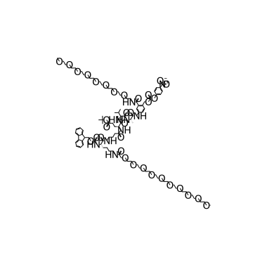 COCCOCCOCCOCCOCCOCCOCCOCCNC(=O)c1cc(NC(=O)[C@H](C)NC(=O)[C@@H](NC(=O)[C@H](CCC(=O)OC(C)(C)C)NC(=O)CCCNC(=O)[C@H](CCCCNC(=O)COCCOCCOCCOCCOCCOCCOCCOCCOCCOC)NC(=O)OCC2c3ccccc3-c3ccccc32)C(C)C)ccc1COC(=O)Oc1ccc([N+](=O)[O-])cc1